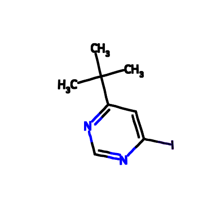 CC(C)(C)c1cc(I)ncn1